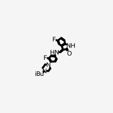 CCC(C)N1CCN(c2ccc(N/C=C3/C(=O)Nc4ccc(F)cc43)cc2F)CC1